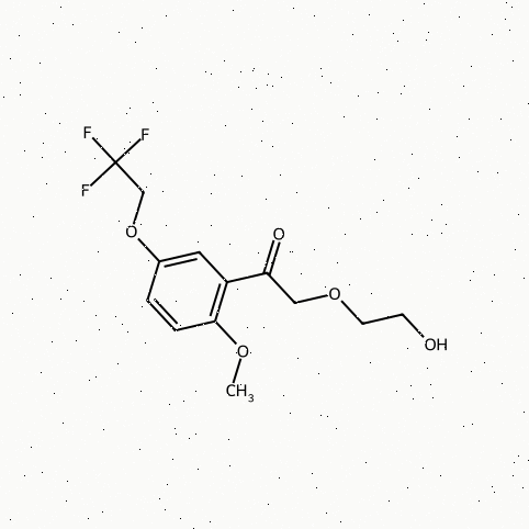 COc1ccc(OCC(F)(F)F)cc1C(=O)COCCO